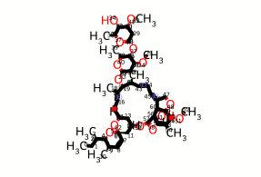 CC[C@H](C)[C@H]1O[C@]2(C=C[C@@H]1C)C[C@@H]1C[C@@H](C/C=C(\C)[C@@H](O[C@H]3C[C@H](OC)[C@@H](O[C@H]4C[C@H](OC)[C@@H](O)[C@H](C)O4)[C@H](C)O3)[C@@H](C)/C=C/C=C3\CO[C@@H]4[C@H](OC)C(C)=C[C@@H](C(=O)O1)[C@]34O)O2